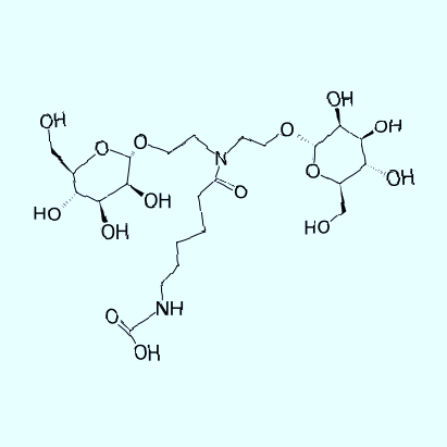 O=C(O)NCCCCCC(=O)N(CCO[C@H]1O[C@H](CO)[C@@H](O)[C@H](O)[C@@H]1O)CCO[C@H]1O[C@H](CO)[C@@H](O)[C@H](O)[C@@H]1O